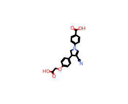 N#CC1=CN(c2ccc(C(=O)O)cc2)CC1c1ccc(OCC(=O)O)cc1